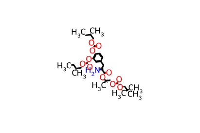 CCC(C)COC(=O)Oc1ccc(C[C@H](N)C(=O)O[C@@H](C)COC(=O)OCC(C)(C)C)cc1OC(=O)OCC(C)CC